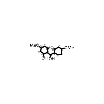 COC1CCC(C(O)C2CCC(OC)CC2O)C(O)C1